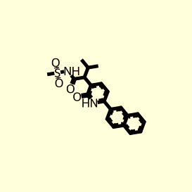 CC(C)C(C(=O)NS(C)(=O)=O)c1ccc(-c2ccc3ccccc3c2)[nH]c1=O